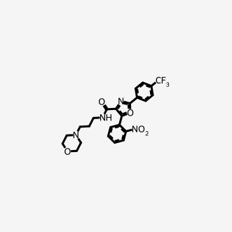 O=C(NCCCN1CCOCC1)c1nc(-c2ccc(C(F)(F)F)cc2)oc1-c1ccccc1[N+](=O)[O-]